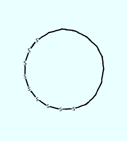 C1CCCCCSSSSSSSSSCCCC1